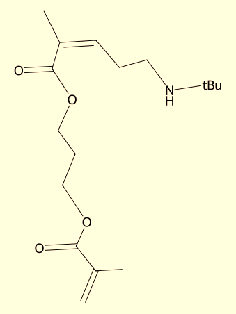 C=C(C)C(=O)OCCCOC(=O)C(C)=CCCNC(C)(C)C